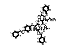 CC(C)CCN(C(=O)[C@@H](CN(C)C)NC(=O)[C@H](Cc1ccc(OCc2ccccc2)cc1)NC(=O)OCc1ccccc1)[C@@H](Cc1ccccc1)C(N)=O